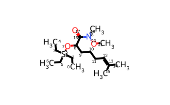 CC[Si](CC)(CC)OC(CCCC=C(C)C)C(=O)N(C)OC